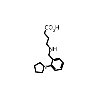 O=C(O)CCCNCc1ccccc1N1CCCC1